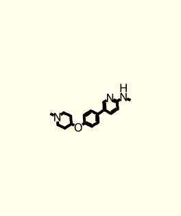 CNc1ccc(-c2ccc(OC3CCN(C)CC3)cc2)cn1